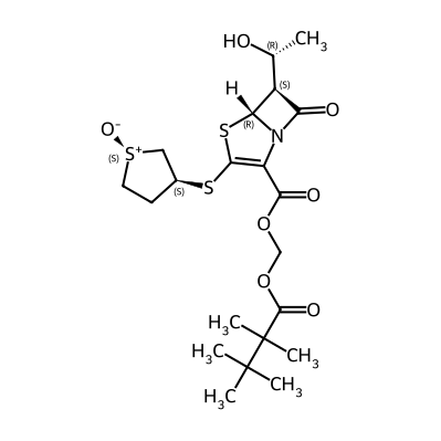 C[C@@H](O)[C@H]1C(=O)N2C(C(=O)OCOC(=O)C(C)(C)C(C)(C)C)=C(S[C@H]3CC[S@@+]([O-])C3)S[C@H]12